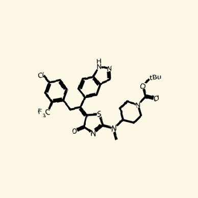 CN(C1=NC(=O)C(=C(Cc2ccc(Cl)cc2C(F)(F)F)c2ccc3[nH]ncc3c2)S1)C1CCN(C(=O)OC(C)(C)C)CC1